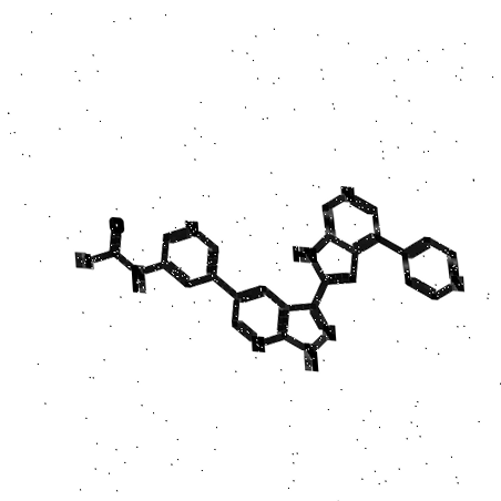 CCC(=O)Nc1cncc(-c2cnc3[nH]nc(-c4cc5c(-c6ccncc6)cncc5[nH]4)c3c2)c1